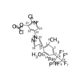 Cc1cc(C(F)(C(F)(F)F)C(F)(F)F)cc(C)c1-c1cnn(-c2cnc(Cl)c(OC(=O)Cl)c2)c1